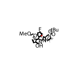 COCCOc1cc(F)cc(F)c1-c1c(-c2cc3n(n2)[C@@H](C)[C@@H](C)N(C(=O)OC(C)(C)C)C3)nc(O)c2ccsc12